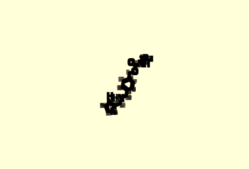 CC(C)(C)NC(=O)OCc1ccc(CNCc2ncc[nH]2)cc1